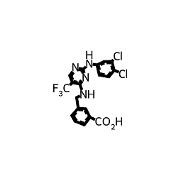 O=C(O)c1cccc(CNc2nc(Nc3ccc(Cl)c(Cl)c3)ncc2C(F)(F)F)c1